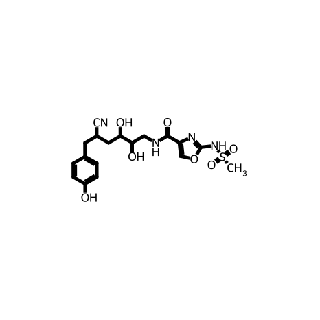 CS(=O)(=O)Nc1nc(C(=O)NCC(O)C(O)CC(C#N)Cc2ccc(O)cc2)co1